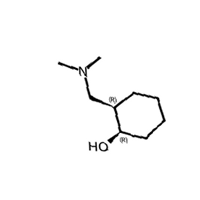 CN(C)C[C@H]1CCCC[C@H]1O